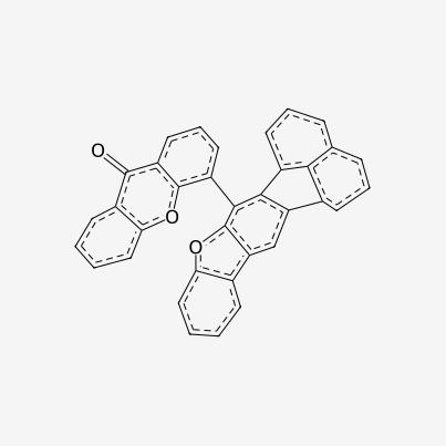 O=c1c2ccccc2oc2c(-c3c4c(cc5c3oc3ccccc35)-c3cccc5cccc-4c35)cccc12